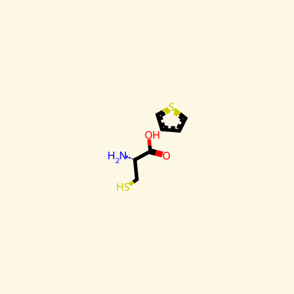 N[C@@H](CS)C(=O)O.c1ccsc1